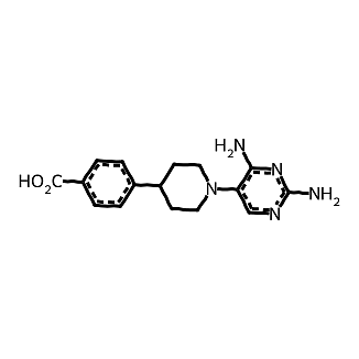 Nc1ncc(N2CCC(c3ccc(C(=O)O)cc3)CC2)c(N)n1